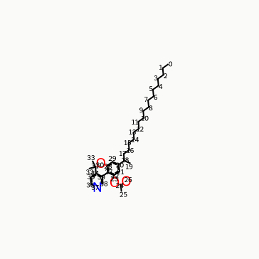 CCCCCCCCCCCCCCCCCCC(C)c1cc(OC(C)=O)c2c(c1)OC(C)(C)c1ccncc1-2